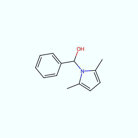 Cc1ccc(C)n1C(O)c1ccccc1